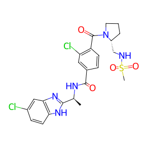 C[C@H](NC(=O)c1ccc(C(=O)N2CCC[C@@H]2CNS(C)(=O)=O)c(Cl)c1)c1nc2cc(Cl)ccc2[nH]1